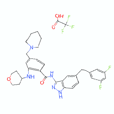 O=C(Nc1n[nH]c2ccc(Cc3cc(F)cc(F)c3)cc12)c1ccc(CN2CCCCC2)cc1NC1CCOCC1.O=C(O)C(F)(F)F